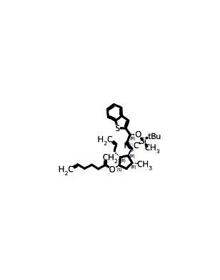 C=CCCCC(=C)O[C@H]1C[C@@H](C)[C@H](/C=C/[C@@H](O[Si](C)(C)C(C)(C)C)c2cc3ccccc3s2)[C@H]1CC=C